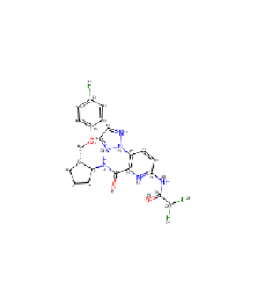 O=C(N[C@H]1CCC[C@@H]1COc1ccc(F)cc1)c1nc(NC(=O)C(F)F)ccc1-n1nccn1